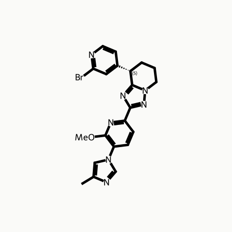 COc1nc(-c2nc3n(n2)CCC[C@H]3c2ccnc(Br)c2)ccc1-n1cnc(C)c1